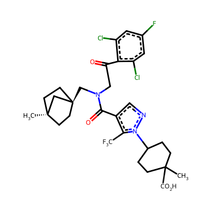 CC1(C(=O)O)CCC(n2ncc(C(=O)N(CC(=O)c3c(Cl)cc(F)cc3Cl)C[C@]34CC[C@@](C)(CC3)C4)c2C(F)(F)F)CC1